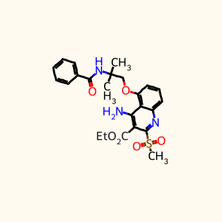 CCOC(=O)c1c(S(C)(=O)=O)nc2cccc(OCC(C)(C)NC(=O)c3ccccc3)c2c1N